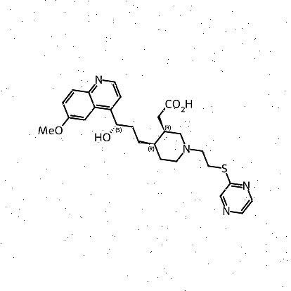 COc1ccc2nccc([C@@H](O)CC[C@@H]3CCN(CCSc4cnccn4)C[C@@H]3CC(=O)O)c2c1